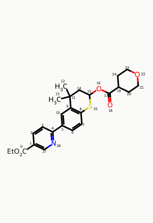 CCOC(=O)c1ccc(-c2ccc3c(c2)C(C)(C)CC(OC(=O)C2CCOCC2)S3)nc1